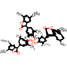 Cc1cc(C2C(=O)Oc3c2cc(C(C)(C)C)cc3C(C)(C)C)cc(C)c1OP(=O)(Oc1c(C)cc(C2C(=O)Oc3c2cc(C(C)(C)C)cc3C(C)(C)C)cc1C)Oc1c(C)cc(C2C(=O)Oc3c2cc(C(C)(C)C)cc3C(C)(C)C)cc1C